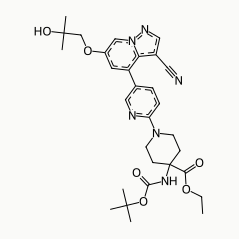 CCOC(=O)C1(NC(=O)OC(C)(C)C)CCN(c2ccc(-c3cc(OCC(C)(C)O)cn4ncc(C#N)c34)cn2)CC1